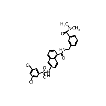 CN(C)C(=O)c1cccc(CNC(=O)c2cccc3cc(NS(=O)(=O)c4cc(Cl)cc(Cl)c4)ccc23)c1